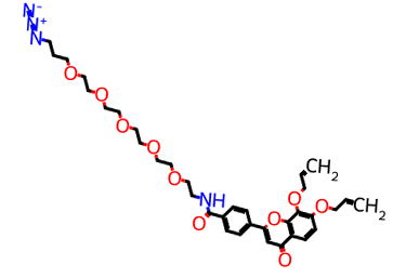 C=CCOc1ccc2c(=O)cc(-c3ccc(C(=O)NCCOCCOCCOCCOCCOCCCN=[N+]=[N-])cc3)oc2c1OCC=C